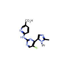 Cc1ncc(-c2nc(Nc3ccc(C(=O)O)cn3)ncc2F)n1C(C)C